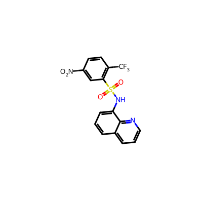 O=[N+]([O-])c1ccc(C(F)(F)F)c(S(=O)(=O)Nc2cccc3cccnc23)c1